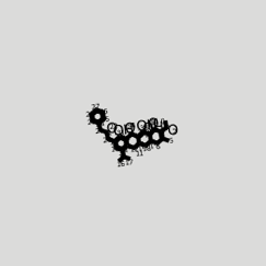 CC(=O)C1=C(C)C[C@@]2(C)C[C@@]3(C)Cc4c(C(C)C)cc(CC(=O)Cc5ccccc5)c(O)c4C(=O)C3=C(O)[C@@]2(O)C1=O